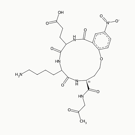 CC(=O)CNC(=O)[C@@H]1CCOc2ccc([N+](=O)[O-])cc2C(=O)NC(CCC(=O)O)C(=O)NC(CCCCN)C(=O)N1